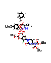 COc1ccc(OP(=O)(N[C@@H](C)C(=O)OCc2ccccc2)OC[C@H]2S[C@@H](n3ccc(N(C(=O)OC(C)(C)C)C(=O)OC(C)(C)C)nc3=O)[C@@H](F)[C@@H]2OC(=O)OC(C)(C)C)cc1